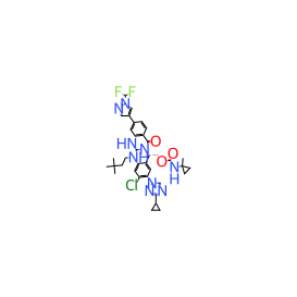 CC(C)(C)CCNC(=N)N(C(=O)c1ccc(-c2cnn(C(F)F)c2)cc1)[C@H](COC(=O)NC1(C)CC1)c1ccc(Cl)c(-n2cnc(C3CC3)n2)c1